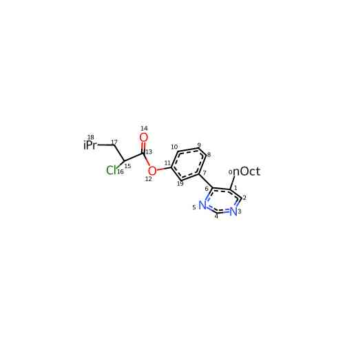 CCCCCCCCc1cncnc1-c1cccc(OC(=O)C(Cl)CC(C)C)c1